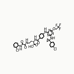 O=C(NCC[C@@H](NC(=O)c1ccc(Nc2nc(NC3(c4ccc(Cl)cc4)CC3)nc(OCC(F)(F)F)n2)cc1)C(=O)O)C(=O)Nc1ccccc1Cl